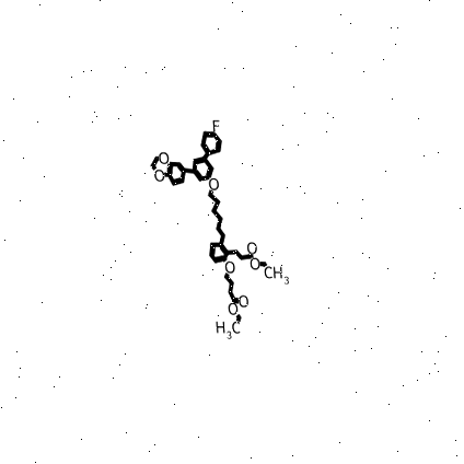 CCOC(=O)CCCOc1cccc(CCCCCCOc2cc(-c3ccc(F)cc3)cc(-c3ccc4c(c3)OCCO4)c2)c1CCC(=O)OCC